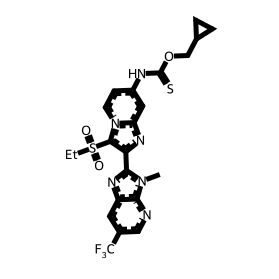 CCS(=O)(=O)c1c(-c2nc3cc(C(F)(F)F)cnc3n2C)nc2cc(NC(=S)OCC3CC3)ccn12